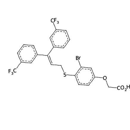 O=C(O)COc1ccc(SCC=C(c2cccc(C(F)(F)F)c2)c2cccc(C(F)(F)F)c2)c(Br)c1